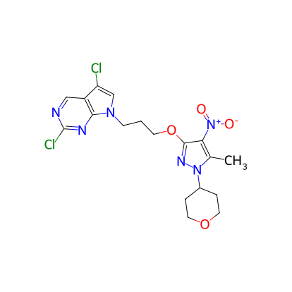 Cc1c([N+](=O)[O-])c(OCCCn2cc(Cl)c3cnc(Cl)nc32)nn1C1CCOCC1